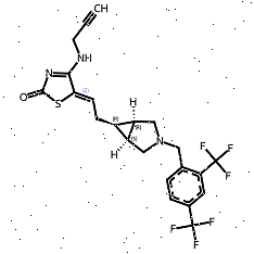 C#CCNC1=NC(=O)S/C1=C\C[C@H]1[C@H]2CN(Cc3ccc(C(F)(F)F)cc3C(F)(F)F)C[C@@H]12